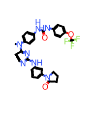 CN(c1ccc(NC(=O)Nc2ccc(OC(F)(F)F)cc2)cc1)c1ccnc(Nc2cccc(N3CCCC3=O)c2)n1